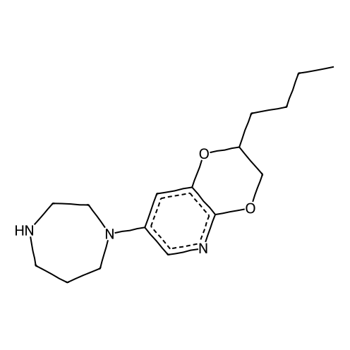 CCCCC1COc2ncc(N3CCCNCC3)cc2O1